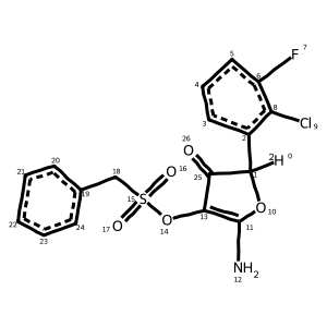 [2H]C1(c2cccc(F)c2Cl)OC(N)=C(OS(=O)(=O)Cc2ccccc2)C1=O